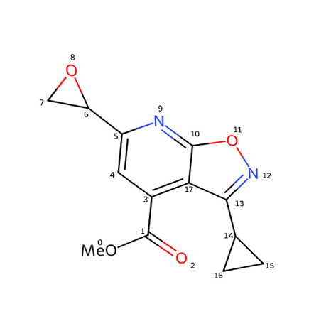 COC(=O)c1cc(C2CO2)nc2onc(C3CC3)c12